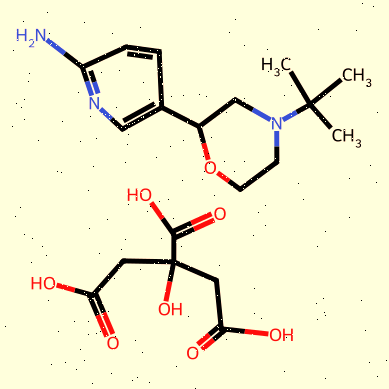 CC(C)(C)N1CCOC(c2ccc(N)nc2)C1.O=C(O)CC(O)(CC(=O)O)C(=O)O